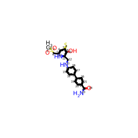 CS(=O)(=O)Cc1cc(=S)c(O)c(CNc2ccc(-c3ccc(C(N)=O)cc3)cc2)[nH]1